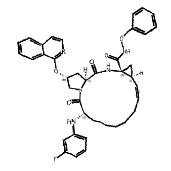 O=C1N[C@]2(C(=O)NOc3ccccc3)C[C@H]2/C=C\CCCCC[C@H](Nc2cccc(F)c2)C(=O)N2C[C@H](Oc3nccc4ccccc34)C[C@@H]12